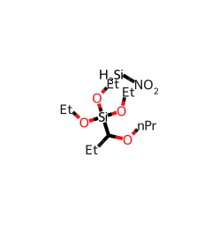 CCCOC(CC)[Si](OCC)(OCC)OCC.O=[N+]([O-])[SiH3]